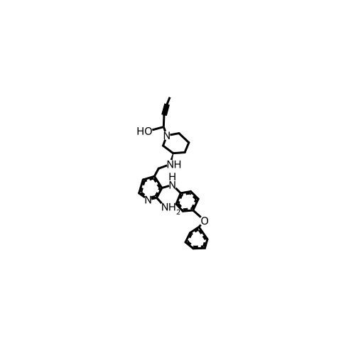 CC#CC(O)N1CCC[C@@H](NCc2ccnc(N)c2Nc2ccc(Oc3ccccc3)cc2)C1